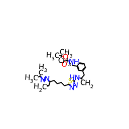 C=C/C(CCCCc1nnc(NC(=C)Cc2cccc(CNC(=O)OC(C)(C)C)c2)s1)=N\N=C(C)C